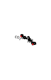 O=C(NC1=COC2C=CC=CC2=C1)c1ccc2c(c1)CCCN2Cc1ccc(-c2ccccc2C(=O)O)cc1